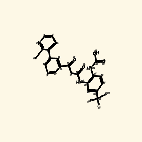 Cc1ncccc1-c1cccc(C(=O)CC(=O)Nc2cc(C(F)(F)F)ccc2NC(=O)O)c1